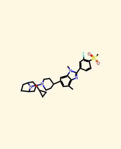 Cc1cc(C2CCN(C3CC4CCC(C3)N4CC3CC3)CC2)cc2c1nc(-c1ccc(S(C)(=O)=O)c(F)c1)n2C